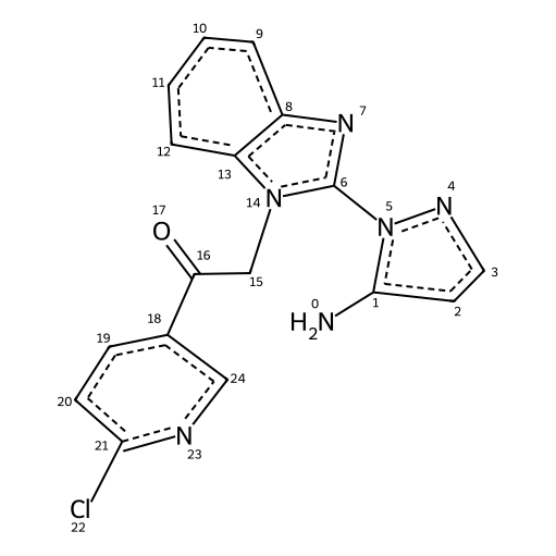 Nc1ccnn1-c1nc2ccccc2n1CC(=O)c1ccc(Cl)nc1